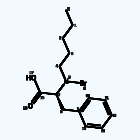 CCCCCN(Br)[C@@H](Cc1ccccc1)C(=O)O